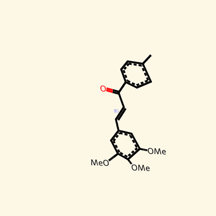 COc1cc(/C=C/C(=O)c2ccc(C)cc2)cc(OC)c1OC